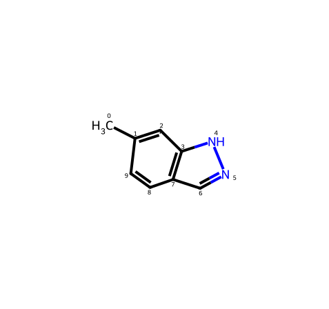 Cc1[c]c2[nH]ncc2cc1